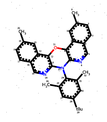 Cc1ccc2cnc3c(c2c1)Oc1c(ncc2ccc(C)cc12)N3c1c(C)cc(C(C)(C)C)cc1C